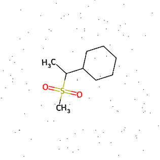 CC(C1CCCCC1)S(C)(=O)=O